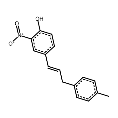 Cc1ccc(CC=Cc2ccc(O)c([N+](=O)[O-])c2)cc1